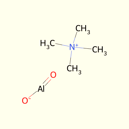 C[N+](C)(C)C.[O]=[Al][O-]